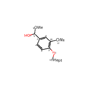 CCCCCCCOc1ccc(C(O)OC)cc1OC